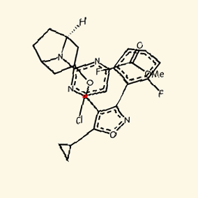 COC(=O)c1cc(Cl)nc(N2C3CC[C@H]2CC(OCc2c(-c4c(F)cccc4F)noc2C2CC2)C3)n1